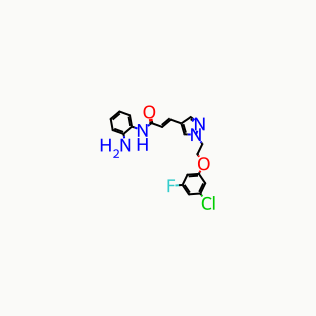 Nc1ccccc1NC(=O)/C=C/c1cnn(CCOc2cc(F)cc(Cl)c2)c1